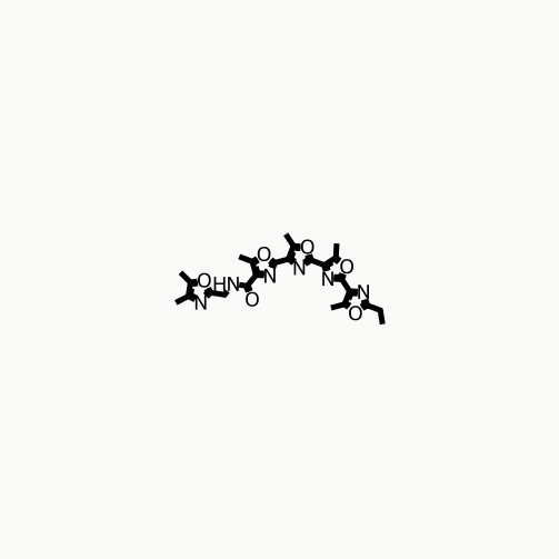 CCc1nc(-c2nc(-c3nc(-c4nc(C(=O)NCc5nc(C)c(C)o5)c(C)o4)c(C)o3)c(C)o2)c(C)o1